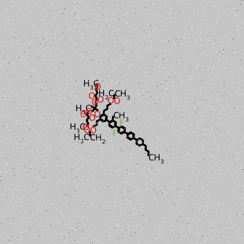 C=C(C)C(=O)OCCCCc1cc(-c2ccc(-c3c(F)cc(-c4ccc(C5CCC(CCCCC)CC5)cc4)cc3F)cc2CC)cc(CCCOC(=O)C(=C)C)c1OCC(CC)(COC(=O)C(=O)CCOC)COC(=O)C(=O)CCOC